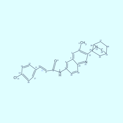 Cc1cc2cc(NC(=O)/C=C/c3ccc(Cl)cc3)ccc2nc1N1CC2CCC1CC2